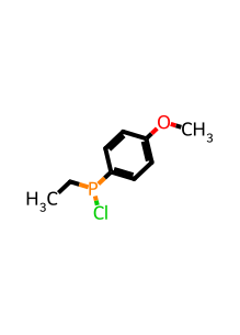 CCP(Cl)c1ccc(OC)cc1